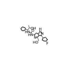 CC(O)C(NC(=O)Nc1cc2[nH]nc(-c3ccc(F)cc3)c2c(CO)n1)c1ccccc1